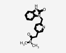 CN(C)C(=O)Cc1ccc(Cn2c(=O)[nH]c3ccccc32)nc1